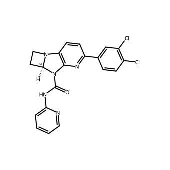 O=C(Nc1ccccn1)N1c2nc(-c3ccc(Cl)c(Cl)c3)ccc2N2CC[C@@H]21